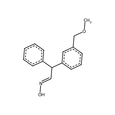 COCc1cccc(C(C=NO)c2ccccc2)c1